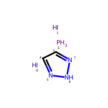 I.I.P.c1cn[nH]n1